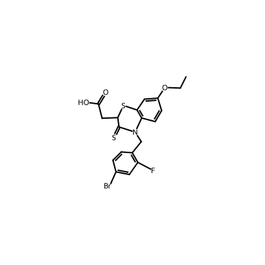 CCOc1ccc2c(c1)SC(CC(=O)O)C(=S)N2Cc1ccc(Br)cc1F